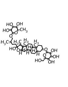 C[C@@H](CC[C@@]1(O)O[C@H]2C[C@H]3[C@@H]4CC[C@@H]5C[C@@H](O[C@@H]6O[C@H](CO)[C@H](O)[C@H](O)[C@H]6O)CC[C@]5(C)[C@H]4CC[C@]3(C)[C@H]2[C@@H]1C)CO[C@@H]1O[C@@H](C)[C@@H](O)[C@@H](O)[C@@H]1O